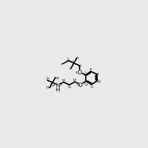 CCC(C)(C)COc1ccccc1OCCCNC(C)(C)C